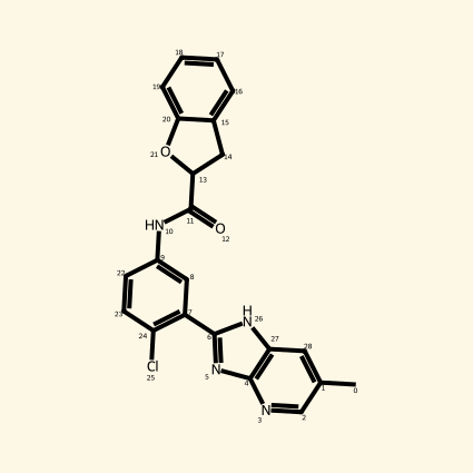 Cc1cnc2nc(-c3cc(NC(=O)C4Cc5ccccc5O4)ccc3Cl)[nH]c2c1